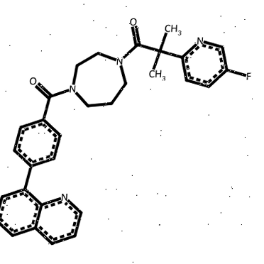 CC(C)(C(=O)N1CCCN(C(=O)c2ccc(-c3cccc4cccnc34)cc2)CC1)c1ccc(F)cn1